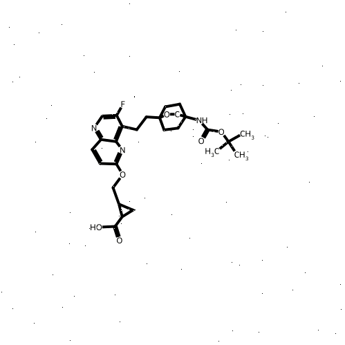 CC(C)(C)OC(=O)NC12CCC(CCc3c(F)cnc4ccc(OCC5CC5C(=O)O)nc34)(CC1)OC2